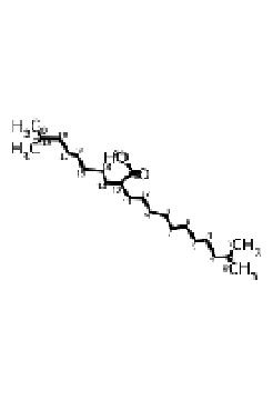 CC(C)CCCCCCCCCC(CCCCCCC(C)C)C(=O)O